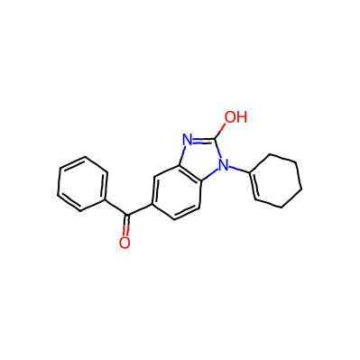 O=C(c1ccccc1)c1ccc2c(c1)nc(O)n2C1=CCCCC1